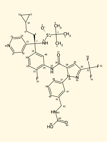 CC(C)(C)[S@@+]([O-])N[C@@](CCC1CC1)(c1ccncc1)c1ccc(F)c(NC(=O)c2cc(C(F)(F)F)nn2-c2cccc(CNC(=O)O)c2)c1